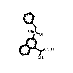 CC(C(=O)O)c1cc(P(=O)(O)Cc2ccccc2)cc2ccccc12